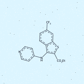 CCOC(=O)c1sc2cc(C(F)(F)F)ccc2c1Nc1ccncc1